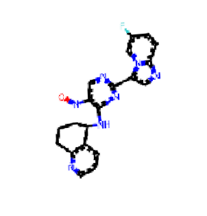 O=Nc1cnc(-c2cnc3ccc(F)cn23)nc1NC1CCCc2ncccc21